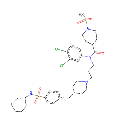 CS(=O)(=O)N1CCC(C(=O)N(CCCN2CCC(Cc3ccc(S(=O)(=O)NC4CCCCC4)cc3)CC2)c2ccc(Cl)c(Cl)c2)CC1